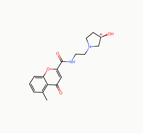 Cc1cccc2oc(C(=O)NCCN3CC[C@@H](O)C3)cc(=O)c12